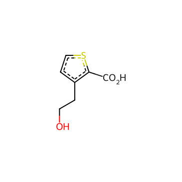 O=C(O)c1sccc1CCO